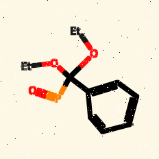 CCOC(OCC)(P=O)c1cc[c]cc1